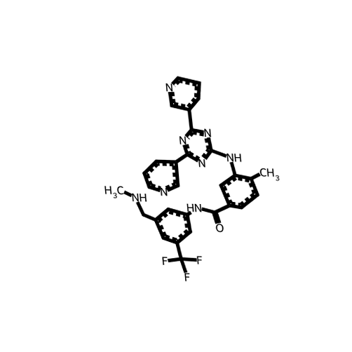 CNCc1cc(NC(=O)c2ccc(C)c(Nc3nc(-c4cccnc4)nc(-c4cccnc4)n3)c2)cc(C(F)(F)F)c1